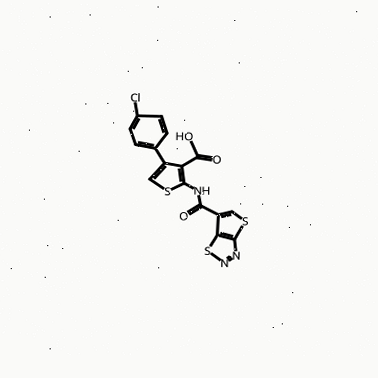 O=C(O)c1c(-c2ccc(Cl)cc2)csc1NC(=O)c1csc2nnsc12